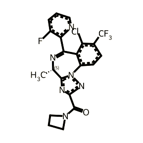 C[C@@H]1N=C(c2ncccc2F)c2c(ccc(C(F)(F)F)c2Cl)-n2nc(C(=O)N3CCC3)nc21